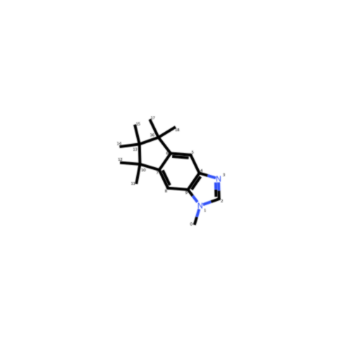 Cn1cnc2cc3c(cc21)C(C)(C)C(C)(C)C3(C)C